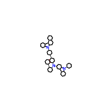 c1ccc(-c2ccccc2N(c2ccc(-c3ccc(-n4c5ccccc5c5c6ccccc6ccc54)cc3)cc2)c2ccc3c(c2)c2ccccc2n3-c2ccccc2)cc1